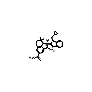 COC(=O)c1cc2c3c(c1)C(N)[C@](N)(c1cc4ccccc4n1CC1CC1)C3C(C)(C)CO2